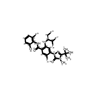 Cn1c(C(C)(C)O)nn(-c2cc(O[C@@H](CF)C(F)F)c(C(=O)Nc3c(F)cccc3Cl)cc2F)c1=O